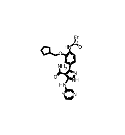 CC[S+]([O-])Nc1ccc(-c2n[nH]c(Nc3cnccn3)c2C(N)=O)cc1OCC1CCCC1